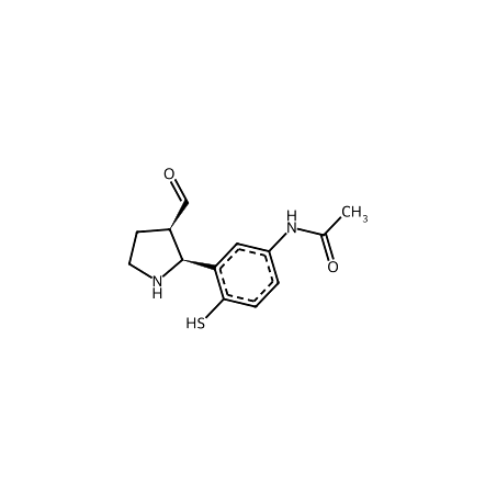 CC(=O)Nc1ccc(S)c([C@H]2NCC[C@H]2C=O)c1